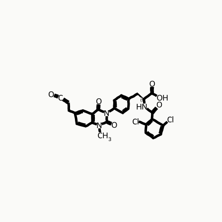 Cn1c(=O)n(-c2ccc(C[C@H](NC(=O)c3c(Cl)cccc3Cl)C(=O)O)cc2)c(=O)c2cc(CC=C=O)ccc21